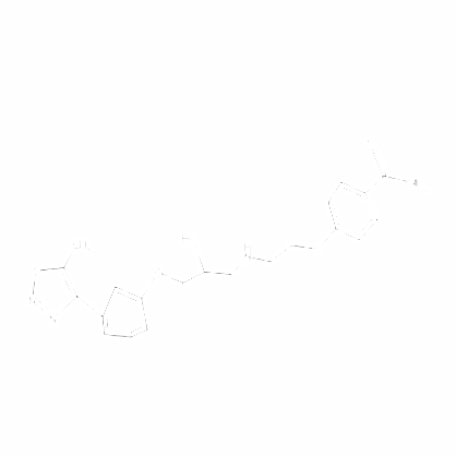 Cc1snnc1-c1cccc(OCC(O)CNCCOc2ccc(C(N)=O)cc2)c1